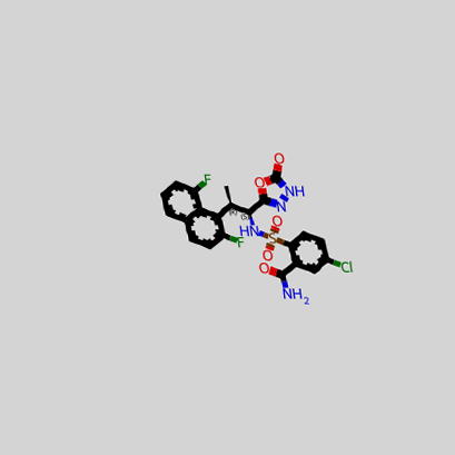 C[C@H](c1c(F)ccc2cccc(F)c12)[C@H](NS(=O)(=O)c1ccc(Cl)cc1C(N)=O)c1n[nH]c(=O)o1